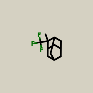 CC1(C(F)(F)F)C2CC3CC(C2)CC1C3